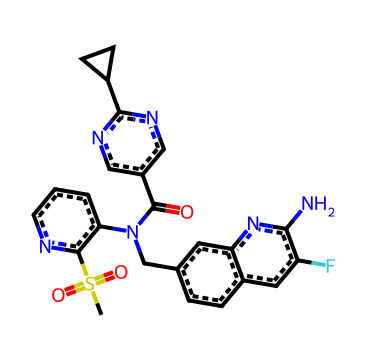 CS(=O)(=O)c1ncccc1N(Cc1ccc2cc(F)c(N)nc2c1)C(=O)c1cnc(C2CC2)nc1